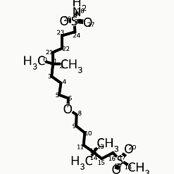 CC(C)(CCCCOCCCCC(C)(C)CCS(C)(=O)=O)CCCCS(N)(=O)=O